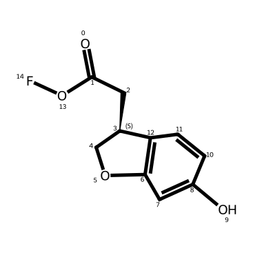 O=C(C[C@@H]1COc2cc(O)ccc21)OF